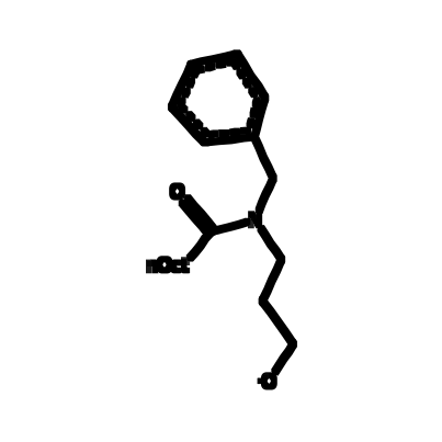 CCCCCCCCC(=O)N(CCC[O])Cc1ccccc1